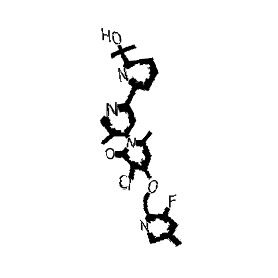 Cc1cnc(COc2cc(C)n(-c3cc(-c4cccc(C(C)(C)O)n4)ncc3C)c(=O)c2Cl)c(F)c1